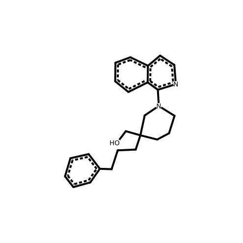 OCC1(CCCc2ccccc2)CCCN(c2nccc3ccccc23)C1